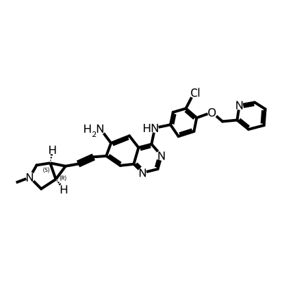 CN1C[C@@H]2C(C#Cc3cc4ncnc(Nc5ccc(OCc6ccccn6)c(Cl)c5)c4cc3N)[C@@H]2C1